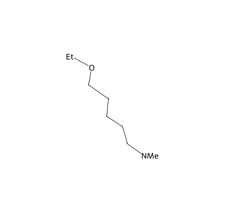 CCOCCCCCNC